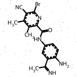 CC(=N)c1cc(NC(=O)c2nc(Br)c(C#N)c(C)c2C)ccc1N